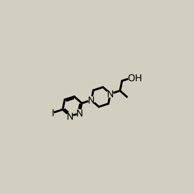 CC(CO)N1CCN(c2ccc(I)nn2)CC1